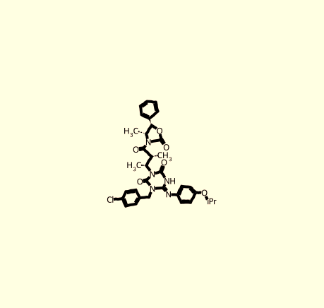 CC(C)Oc1ccc(/N=c2\[nH]c(=O)n([C@H](C)[C@@H](C)C(=O)N3C(=O)O[C@@H](c4ccccc4)[C@H]3C)c(=O)n2Cc2ccc(Cl)cc2)cc1